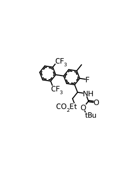 CCOC(=O)CC(NC(=O)OC(C)(C)C)c1cc(-c2c(C(F)(F)F)cccc2C(F)(F)F)cc(C)c1F